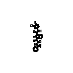 Cc1c(C(=O)C(=O)NC2(C3=CC=CCC3)CC2)c2n(c1C(=O)Nc1ccc(F)c(Cl)c1)CCC2